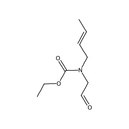 CC=CCN(CC=O)C(=O)OCC